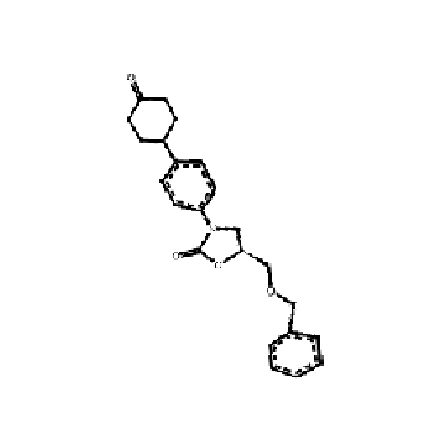 O=C1CCC(c2ccc(N3C[C@@H](COCc4ccccc4)OC3=O)cc2)CC1